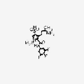 C[C@H](N)CCc1c([SH](=O)=O)cn(C)c1C(=O)Nc1cc(F)c(F)c(F)c1